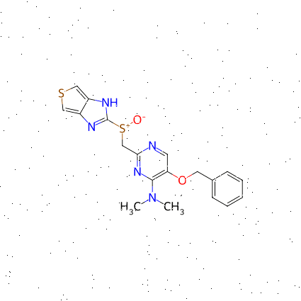 CN(C)c1nc(C[S+]([O-])c2nc3cscc3[nH]2)ncc1OCc1ccccc1